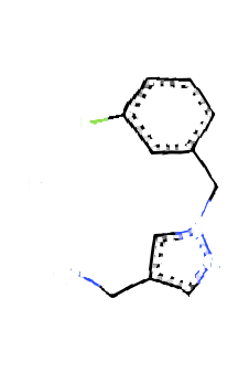 Cl.NCc1cnn(Cc2cccc(F)c2)c1